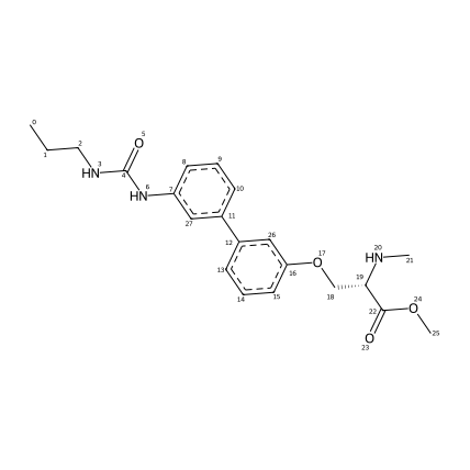 CCCNC(=O)Nc1cccc(-c2cccc(OC[C@H](NC)C(=O)OC)c2)c1